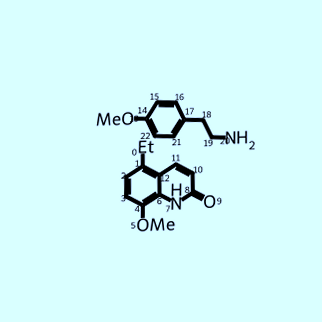 CCc1ccc(OC)c2[nH]c(=O)ccc12.COc1ccc(CCN)cc1